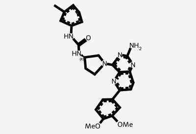 COc1ccc(-c2ccc3nc(N)nc(N4CC[C@@H](NC(=O)Nc5cccc(C)c5)C4)c3n2)cc1OC